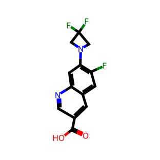 O=C(O)c1cnc2cc(N3CC(F)(F)C3)c(F)cc2c1